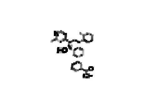 Cc1cc(C(CC(c2ccc(-c3cccc(C(=O)O)c3)cc2)c2ccccc2C)=NO)ccn1